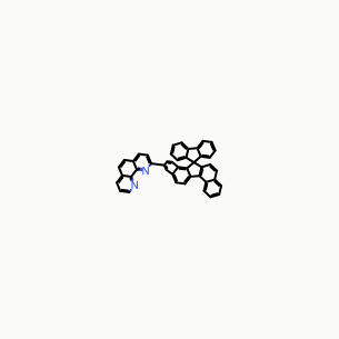 c1ccc2c(c1)-c1ccccc1C21c2ccc3ccccc3c2-c2ccc3cc(-c4ccc5ccc6cccnc6c5n4)ccc3c21